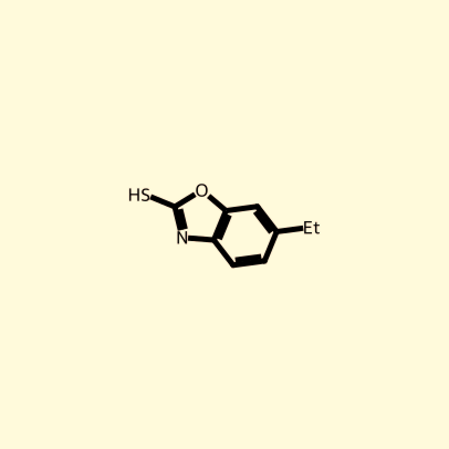 [CH2]Cc1ccc2nc(S)oc2c1